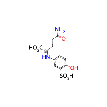 NC(=O)CC[C@H](Nc1ccc(O)c(S(=O)(=O)O)c1)C(=O)O